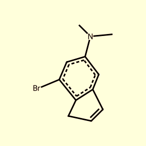 CN(C)c1cc(Br)c2c(c1)C=CC2